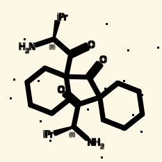 CC(C)[C@H](N)C(=O)C1(C(=O)C2(C(=O)[C@@H](N)C(C)C)CCCCC2)CCCCC1